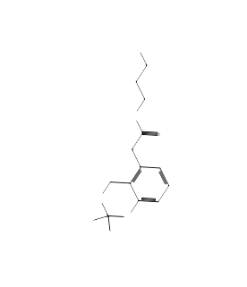 CCCCOC(=O)Cc1cccc2c1COC(C)(C)O2